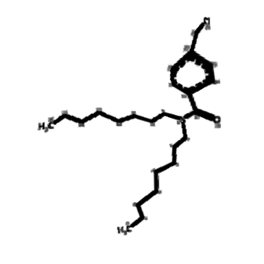 CCCCCCCCN(CCCCCCCC)C(=O)c1ccc(CCl)cc1